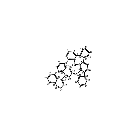 c1ccc2c(c1)Sc1c(ccc3c4ccccc4n(-c4cc(-c5cccc6ccccc56)c5ccccc5c4)c13)-c1ccccc1-2